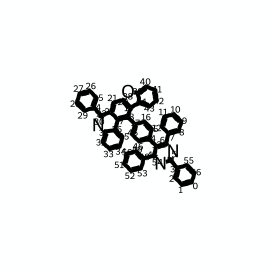 c1ccc(-c2nc(-c3ccccc3)c(-c3ccc(-c4c5c(cc6c(-c7ccccc7)nc7ccccc7c46)oc4ccccc45)cc3)c(-c3ccccc3)n2)cc1